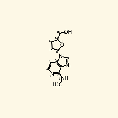 CNc1nccc2c1ncn2[C@@H]1CC[C@@H](CO)O1